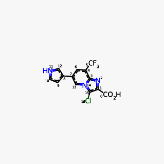 O=C(O)c1nc2c(C(F)(F)F)cc(-c3cc[nH]c3)cn2c1Cl